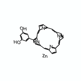 Oc1cc(O)cc(-c2cc3cc4nc(cc5ccc(cc6nc(cc2[nH]3)C=C6)[nH]5)C=C4)c1.[Zn]